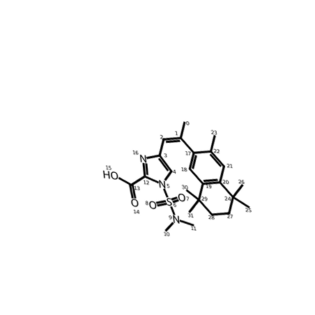 C/C(=C/c1cn(S(=O)(=O)N(C)C)c(C(=O)O)n1)c1cc2c(cc1C)C(C)(C)CCC2(C)C